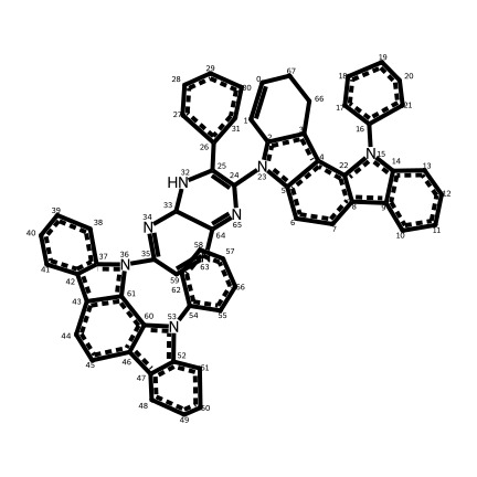 C1=Cc2c(c3c(ccc4c5ccccc5n(-c5ccccc5)c43)n2C2=C(c3ccccc3)NC3N=C(n4c5ccccc5c5ccc6c7ccccc7n(-c7ccccc7)c6c54)C=NC3=N2)CC1